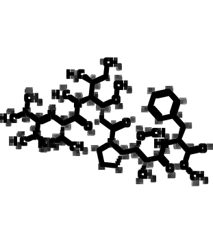 CC[C@H](C)[C@@H]([C@@H](CC(=O)N1CCC[C@H]1[C@H](OC)[C@@H](C)C(=O)N[C@@H](Cc1ccccc1)C(=O)OC)OC)N(C)C(=O)[C@@H](N=C(N(C)C)N(C)C)C(C)C